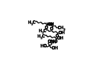 CCCC(=O)O.CCCCCCC(=O)O.CCCCCCC(=O)O.CCCCCCC(=O)O.OCC(CO)(CO)CO